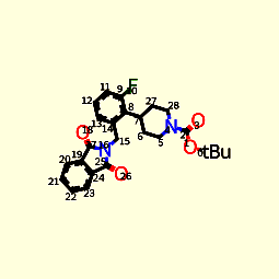 CC(C)(C)OC(=O)N1CCC(c2c(F)cccc2CN2C(=O)c3ccccc3C2=O)CC1